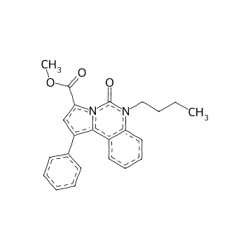 CCCCn1c(=O)n2c(C(=O)OC)cc(-c3ccccc3)c2c2ccccc21